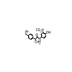 CC(C)Cc1ccc(C(C)C(=O)Nc2ccc(O)c(C(=O)O)c2)cc1